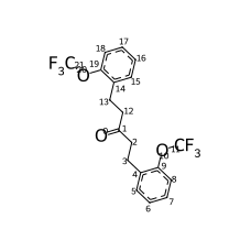 O=C(CCc1ccccc1OC(F)(F)F)CCc1ccccc1OC(F)(F)F